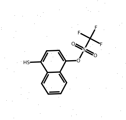 O=S(=O)(Oc1ccc(S)c2ccccc12)C(F)(F)F